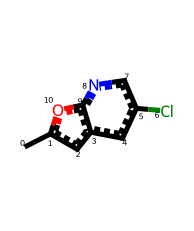 Cc1cc2cc(Cl)cnc2o1